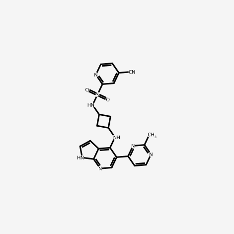 Cc1nccc(-c2cnc3[nH]ccc3c2NC2CC(NS(=O)(=O)c3cc(C#N)ccn3)C2)n1